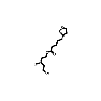 CCN(CCO)CCOC(=O)CCCC[C@@H]1CCSS1